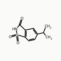 CC(C)c1ccc2c(c1)C(=O)NS2(=O)=O